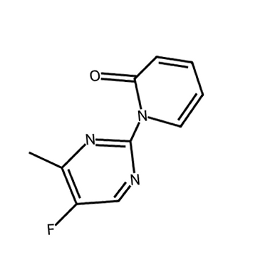 Cc1nc(-n2ccccc2=O)ncc1F